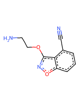 N#Cc1cccc2onc(OCCN)c12